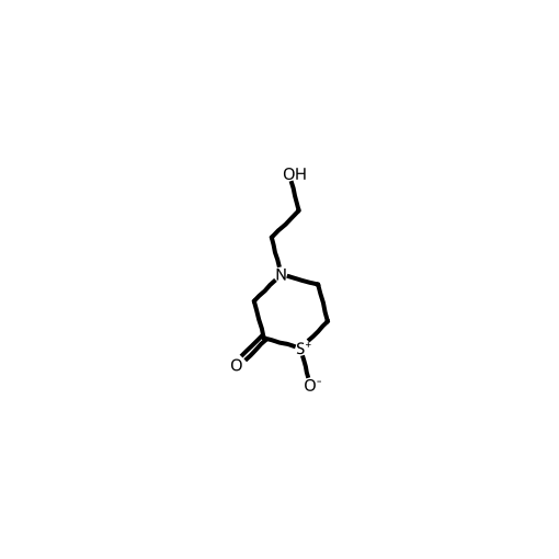 O=C1CN(CCO)CC[S+]1[O-]